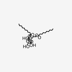 CCCCCCCCCC(=O)OCC(COP(=O)(O)OC(CO)C(=O)O)OC(=O)CCCCCCCCC